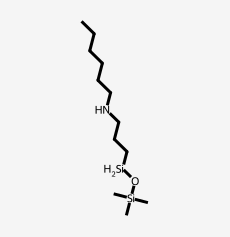 CCCCCCNCCC[SiH2]O[Si](C)(C)C